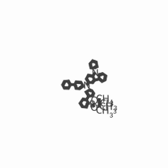 CC1(C)OB(c2ccccc2-c2cccc(N(c3ccc(-c4ccccc4)cc3)c3ccc4c(c3)c3ccccc3n4-c3ccccc3)c2)OC1(C)C